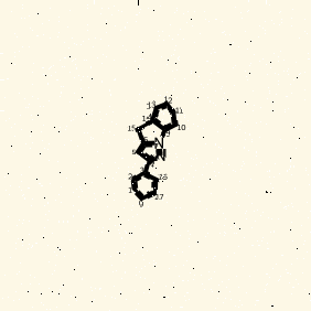 c1ccc(-c2cc3n(n2)-c2ccccc2C3)cc1